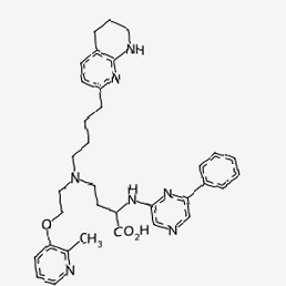 Cc1ncccc1OCCN(CCCCc1ccc2c(n1)NCCC2)CCC(Nc1cncc(-c2ccccc2)n1)C(=O)O